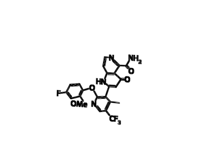 COc1cc(F)ccc1Oc1ncc(C(F)(F)F)c(C)c1-c1cc(=O)c2c(C(N)=O)nccc2[nH]1